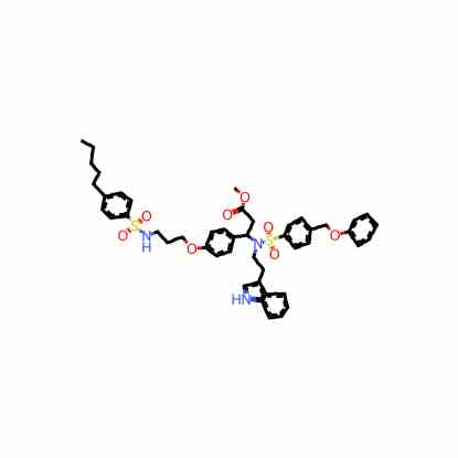 CCCCCc1ccc(S(=O)(=O)NCCCOc2ccc(C(CC(=O)OC)N(CCc3c[nH]c4ccccc34)S(=O)(=O)c3ccc(COc4ccccc4)cc3)cc2)cc1